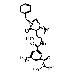 CCCN(CCC)C(=O)c1cc(C)cc(C(=O)N[C@@H](CC(C)C)[C@H](O)[C@@H]2NCCN(Cc3ccccc3)C2=O)c1